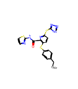 COCc1ccc(Sc2ccc(Sc3nnc[nH]3)nc2C(=O)Nc2nccs2)cc1